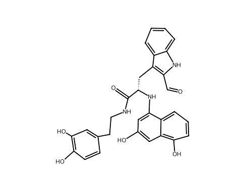 O=Cc1[nH]c2ccccc2c1C[C@H](Nc1cc(O)cc2c(O)cccc12)C(=O)NCCc1ccc(O)c(O)c1